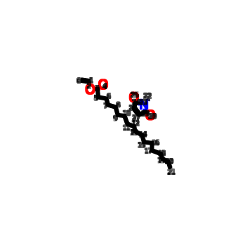 C=COC(=O)CCCCCCCCCCCCCCCCC.CN1C(=O)C=CC1=O